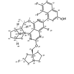 C[C@@H]1Oc2nc(-c3cc(O)cc4ccc(F)c(F)c34)c(F)c3nc(OC[C@@]45CCCN4C[C@H](F)C5)nc(c23)N2C[C@H]3CC[C@H](N3)[C@@H]12